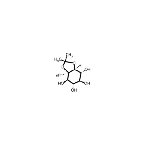 CCC[C@]12OC(C)(C)O[C@H]1[C@H](O)[C@@H](O)[C@H](O)[C@H]2O